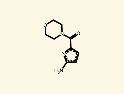 Nc1ccc(C(=O)N2CCOCC2)s1